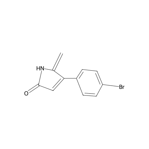 C=C1NC(=O)C=C1c1ccc(Br)cc1